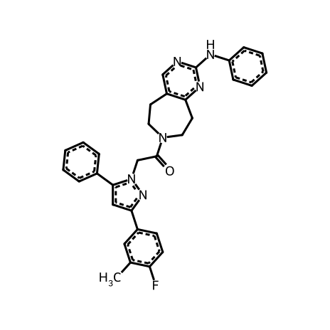 Cc1cc(-c2cc(-c3ccccc3)n(CC(=O)N3CCc4cnc(Nc5ccccc5)nc4CC3)n2)ccc1F